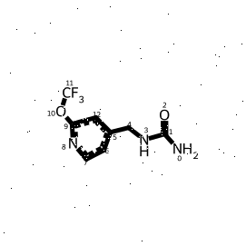 NC(=O)NCc1ccnc(OC(F)(F)F)c1